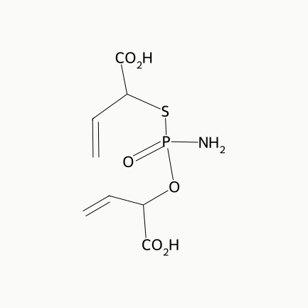 C=CC(OP(N)(=O)SC(C=C)C(=O)O)C(=O)O